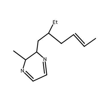 CC=CCC(CC)CC1N=CC=NC1C